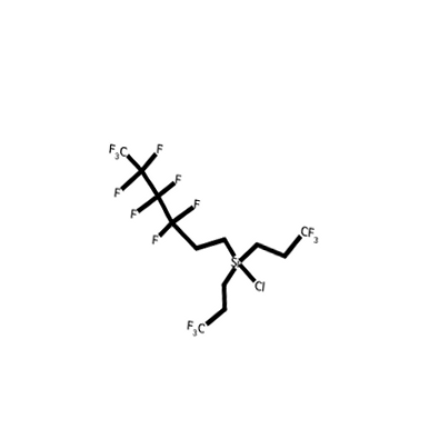 FC(F)(F)CC[Si](Cl)(CCC(F)(F)F)CCC(F)(F)C(F)(F)C(F)(F)C(F)(F)F